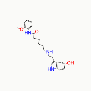 COc1ccccc1NC(=O)CCCCCNCCc1c[nH]c2ccc(O)cc12